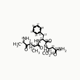 C[C@H](N)C(=O)N[C@@H](C)C(=O)N[C@@H](Cc1ccccc1)C(=O)N[C@@H](CC(N)=O)C(=O)O